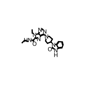 CCCNC(=O)c1nc2c(N3CCC(n4c(=O)[nH]c5ccccc54)CC3)ncnc2n1CC